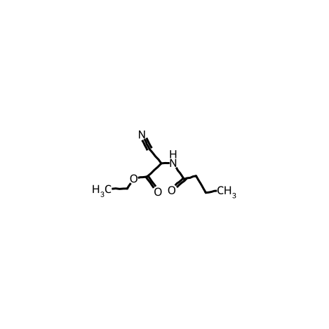 CCCC(=O)NC(C#N)C(=O)OCC